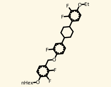 CCCCCCOc1ccc(COc2ccc(C3CCC(c4ccc(OCC)c(F)c4F)CC3)cc2F)c(F)c1F